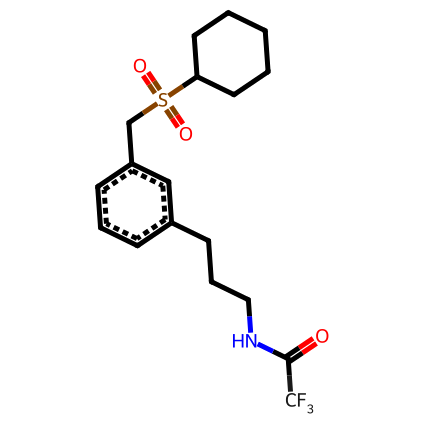 O=C(NCCCc1cccc(CS(=O)(=O)C2CCCCC2)c1)C(F)(F)F